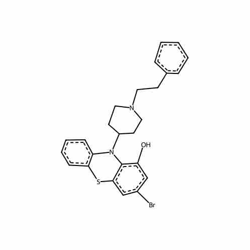 Oc1cc(Br)cc2c1N(C1CCN(CCc3ccccc3)CC1)c1ccccc1S2